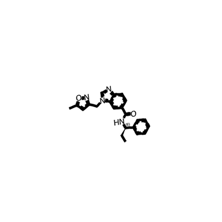 CC[C@@H](NC(=O)c1ccc2ncn(Cc3cc(C)on3)c2c1)c1ccccc1